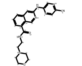 N#Cc1cnc(Nc2cc3cccc(C(=O)NCCN4CCOCC4)c3cn2)cn1